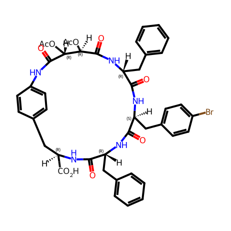 CC(=O)O[C@H]1C(=O)Nc2ccc(cc2)C[C@H](C(=O)O)NC(=O)[C@@H](Cc2ccccc2)NC(=O)[C@H](Cc2ccc(Br)cc2)NC(=O)[C@@H](Cc2ccccc2)NC(=O)[C@@H]1OC(C)=O